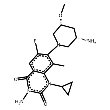 CO[C@@H]1C[C@H](N)CN(c2c(F)cc3c(=O)n(N)c(=O)n(C4CC4)c3c2C)C1